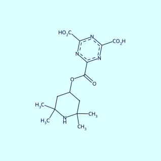 CC1(C)CC(OC(=O)c2nc(C(=O)O)nc(C(=O)O)n2)CC(C)(C)N1